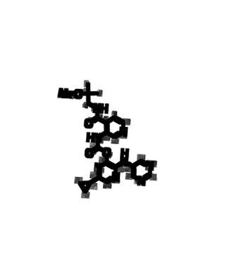 COC(C)(C)CNC(=O)c1ccncc1NC(=O)Oc1nc(C2CC2)cnc1Nc1cncnc1